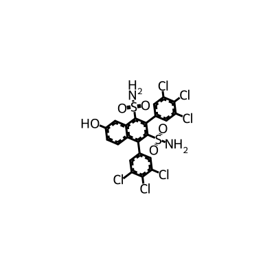 NS(=O)(=O)c1c(-c2cc(Cl)c(Cl)c(Cl)c2)c(S(N)(=O)=O)c2cc(O)ccc2c1-c1cc(Cl)c(Cl)c(Cl)c1